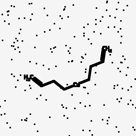 C=CC[CH2][Cd][CH2]CC=C